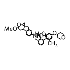 COC(=O)CC1c2ccc(NCc3cccc(-c4c(C)cc(OC5CCOCC5)cc4C)c3C)cc2CC12CC2